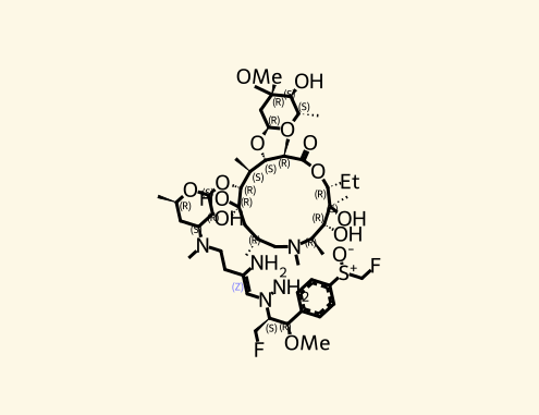 CC[C@H]1OC(=O)[C@H](C)[C@@H](O[C@H]2C[C@@](C)(OC)[C@@H](O)[C@H](C)O2)[C@H](C)[C@@H](O[C@@H]2O[C@H](C)C[C@H](N(C)CC/C(N)=C/N(N)[C@H](CF)[C@H](OC)c3ccc([S+]([O-])CF)cc3)[C@H]2O)[C@](C)(O)C[C@@H](C)CN(C)[C@H](C)[C@@H](O)[C@]1(C)O